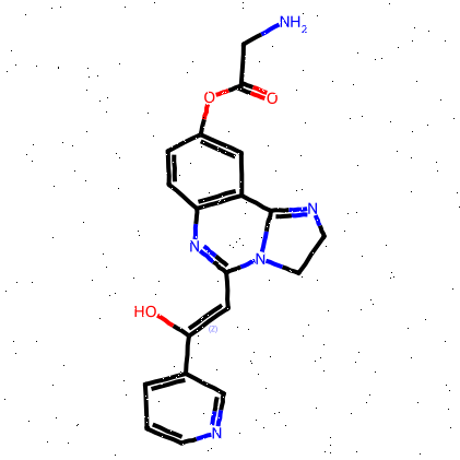 NCC(=O)Oc1ccc2c(c1)C1=NCCN1C(/C=C(\O)c1cccnc1)=N2